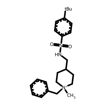 CC(C)(C)c1ccc(S(=O)(=O)NCC2CC[N+](C)(Cc3ccccc3)CC2)cc1